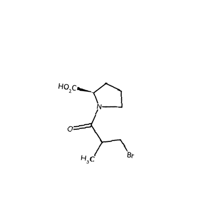 CC(CBr)C(=O)N1CCC[C@@H]1C(=O)O